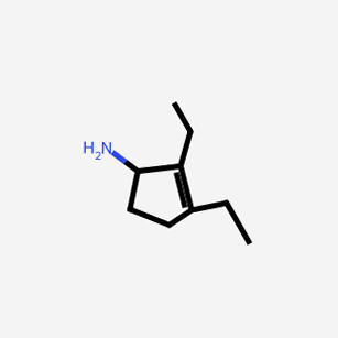 CCC1=C(CC)C(N)CC1